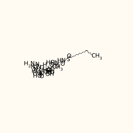 CCCC/C=C\CCCCCCCCCC(=O)SCCNC(=O)CCNC(=O)[C@H](O)C(C)(C)COP(=O)(O)OP(=O)(O)OC[C@H]1O[C@@H](n2cnc3c(N)ncnc32)[C@H](O)[C@@H]1OP(=O)(O)O